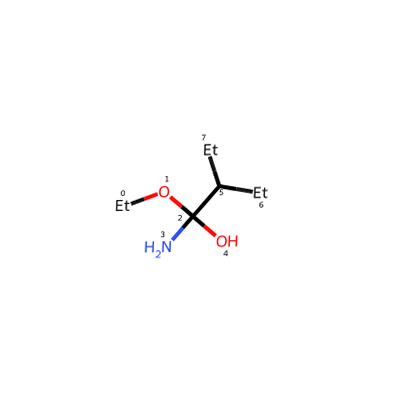 CCOC(N)(O)C(CC)CC